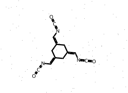 O=C=NC=C1CC(=CN=C=O)CC(=CN=C=O)C1